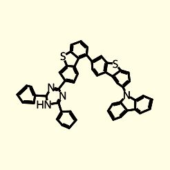 c1ccc(C2=NC(c3ccc4c(c3)sc3cccc(-c5ccc6c(c5)sc5ccc(-n7c8ccccc8c8ccccc87)cc56)c34)=NC(c3ccccc3)N2)cc1